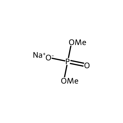 COP(=O)([O-])OC.[Na+]